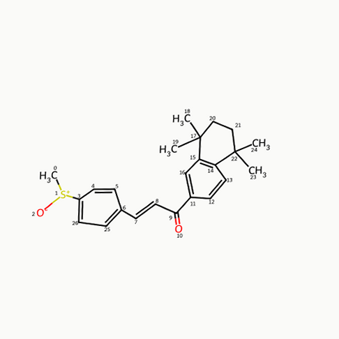 C[S+]([O-])c1ccc(C=CC(=O)c2ccc3c(c2)C(C)(C)CCC3(C)C)cc1